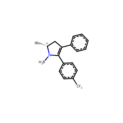 BN1C(c2ccc(C(F)(F)F)cc2)=C(c2ccccc2)C[C@H]1C(C)(C)C